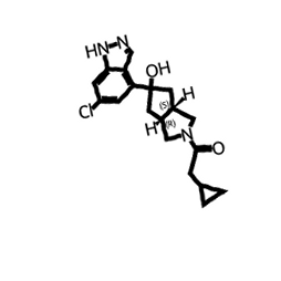 O=C(CC1CC1)N1C[C@@H]2CC(O)(c3cc(Cl)cc4[nH]ncc34)C[C@@H]2C1